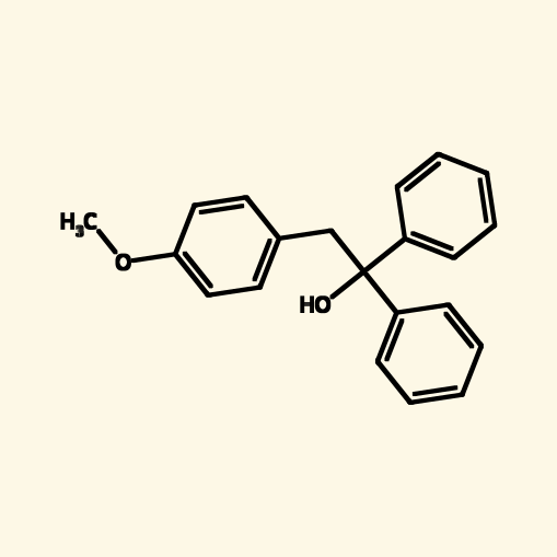 COc1ccc(CC(O)(c2ccccc2)c2ccccc2)cc1